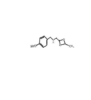 COc1ccc(CNCC2OC(C)O2)cc1